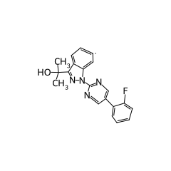 CC(C)(O)c1nn(-c2ncc(-c3ccccc3F)cn2)c2c[c]ccc12